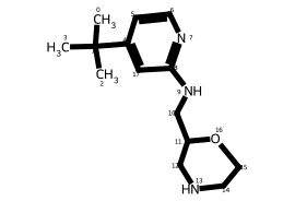 CC(C)(C)c1ccnc(NCC2CNCCO2)c1